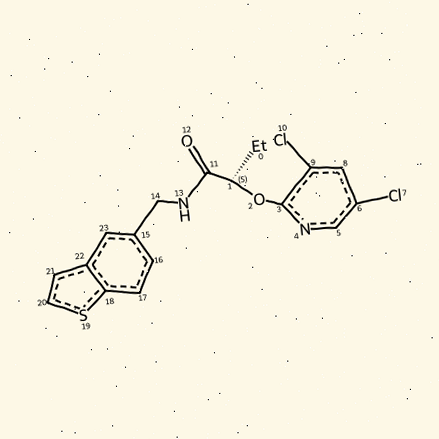 CC[C@H](Oc1ncc(Cl)cc1Cl)C(=O)NCc1ccc2sccc2c1